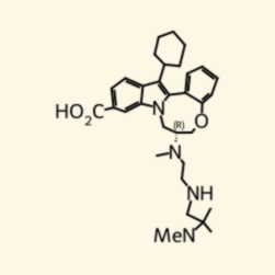 CNC(C)(C)CNCCN(C)[C@H]1COc2ccccc2-c2c(C3CCCCC3)c3ccc(C(=O)O)cc3n2C1